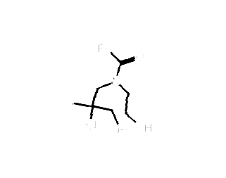 CCC(=O)N(CCO)CC(C)(I)CC(C)C